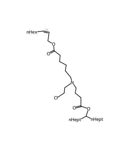 CCCCCC/C=C\COC(=O)CCCCCN(CCCl)CCCC(=O)OC(CCCCCCC)CCCCCCC